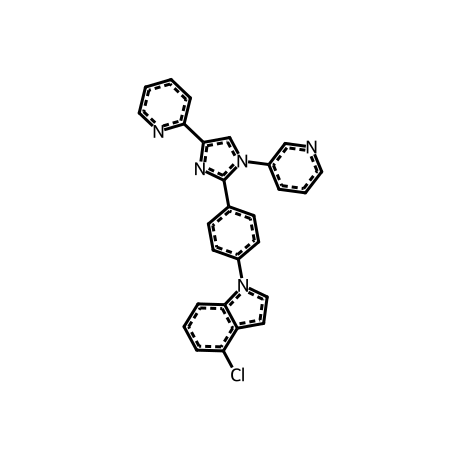 Clc1cccc2c1ccn2-c1ccc(-c2nc(-c3ccccn3)cn2-c2cccnc2)cc1